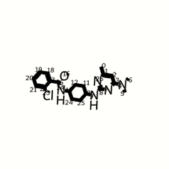 Cc1cc(N(C)C)nc(NC2CCC(NC(=O)c3ccccc3Cl)CC2)n1